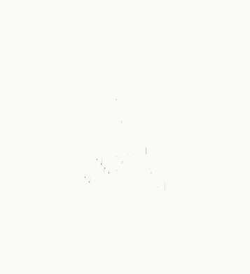 Clc1ccc([C@]2(Cn3cncn3)OC[C@H](COCc3ccccc3)O2)c(Cl)c1